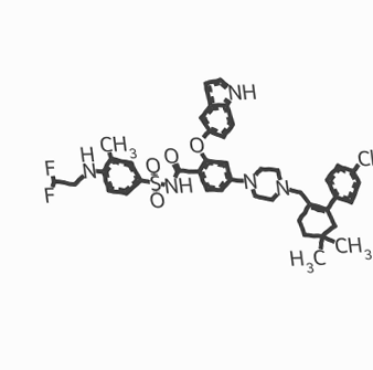 Cc1cc(S(=O)(=O)NC(=O)c2ccc(N3CCN(CC4=C(c5ccc(Cl)cc5)CC(C)(C)CC4)CC3)cc2Oc2ccc3[nH]ccc3c2)ccc1NCC(F)F